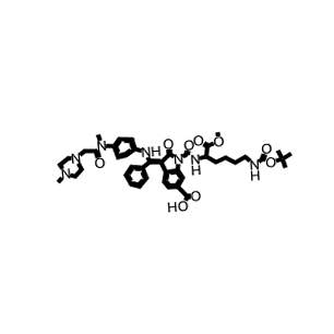 COC(=O)C(CCCCNC(=O)OC(C)(C)C)NC(=O)N1C(=O)/C(=C(\Nc2ccc(N(C)C(=O)CN3CCN(C)CC3)cc2)c2ccccc2)c2ccc(C(=O)O)cc21